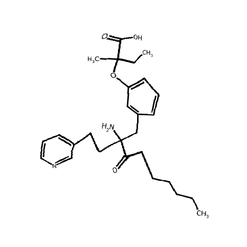 CCCCCCC(=O)C(N)(CCc1cccnc1)Cc1cccc(OC(C)(CC)C(=O)O)c1